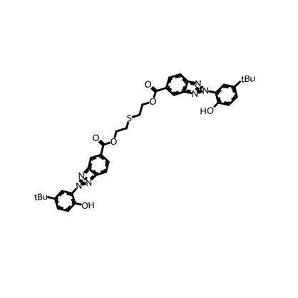 CC(C)(C)c1ccc(O)c(-n2n3c4ccc(C(=O)OCCSCCOC(=O)c5ccc6c(c5)n5n(-c7cc(C(C)(C)C)ccc7O)n65)cc4n23)c1